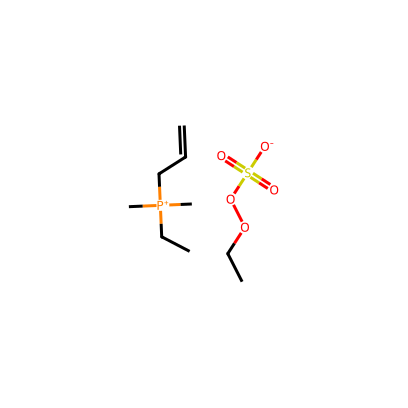 C=CC[P+](C)(C)CC.CCOOS(=O)(=O)[O-]